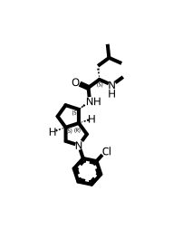 CN[C@@H](CC(C)C)C(=O)N[C@H]1CC[C@@H]2CN(c3ccccc3Cl)C[C@@H]21